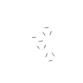 C=C(Sc1ccccc1N)c1ccc(-c2ccccc2)cc1